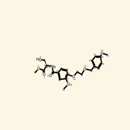 COC(=O)[C@@H](CO)NC(=O)c1ccc(OCCOCc2ccc(OC)cc2)c(OC)c1